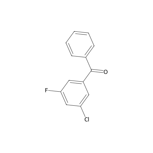 O=C(c1ccccc1)c1cc(F)cc(Cl)c1